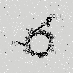 CCC1NC(=O)C(C[C@H](C)CCCCCCCNC(=O)c2ccc(C(=O)O)cc2)N(C)C(=O)C(C(C)C)N(C)C(=O)N(C)C(=O)[C@@H](CC(C)C)N(C)C(=O)CNC(=O)[C@@H](C)NC(=O)[C@@H](CC(C)C)N(C)C(=O)[C@@H](C(C)C)NC(=O)[C@H](CC(C)C)N(C)C(=O)[C@@H](CSCCCCO)N(C)C1=O